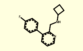 Fc1ccc(-c2cccnc2CNC2CCC2)cc1